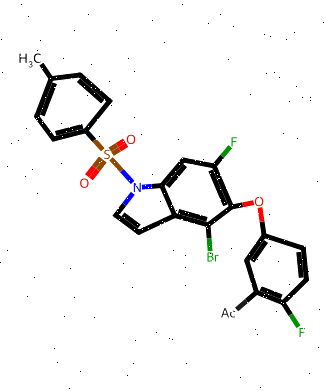 CC(=O)c1cc(Oc2c(F)cc3c(ccn3S(=O)(=O)c3ccc(C)cc3)c2Br)ccc1F